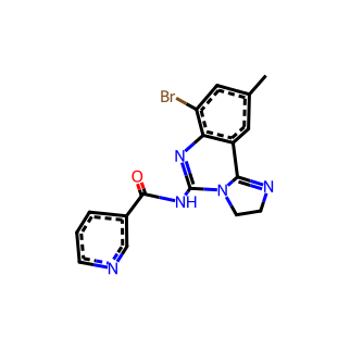 Cc1cc(Br)c2c(c1)C1=NCCN1C(NC(=O)c1cccnc1)=N2